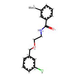 COc1cccc(C(=O)NCCOCc2cccc(Cl)c2)c1